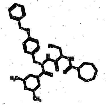 CC(C)CC(NC(=O)N1CCCCCC1)C(=O)NC(Cc1ccc(OCc2ccccc2)cc1)C(=O)N1C[C@H](C)O[C@@H](C)C1